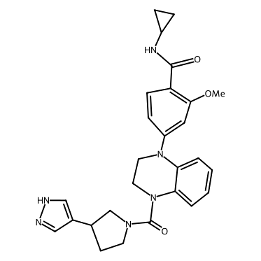 COc1cc(N2CCN(C(=O)N3CCC(c4cn[nH]c4)C3)c3ccccc32)ccc1C(=O)NC1CC1